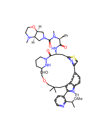 CCn1c(-c2cccnc2[C@H](C)OC)c2c3cc(ccc31)-c1csc(n1)C[C@H](NC(=O)[C@H](C(C)C)N(C)C(=O)N1C[C@@H]3OCCN(C)[C@@H]3C1)C(=O)N1CCC[C@](C=O)(COCC(C)(C)C2)N1